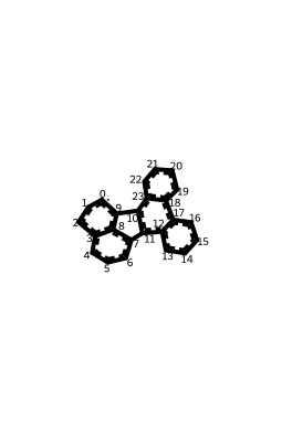 [c]1ccc2cccc3c2c1-c1c-3c2ccccc2c2ccccc12